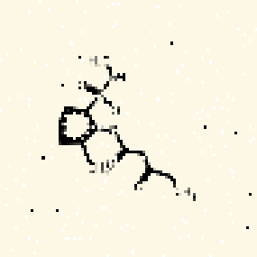 CCC(=O)CC(=O)Oc1c(C)cccc1S(=O)(=O)NC